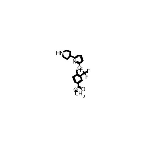 COC(=O)c1ccc(COc2cccc(C3CCNCC3)n2)c(C(F)(F)F)c1